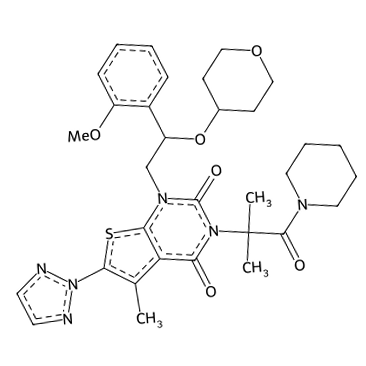 COc1ccccc1C(Cn1c(=O)n(C(C)(C)C(=O)N2CCCCC2)c(=O)c2c(C)c(-n3nccn3)sc21)OC1CCOCC1